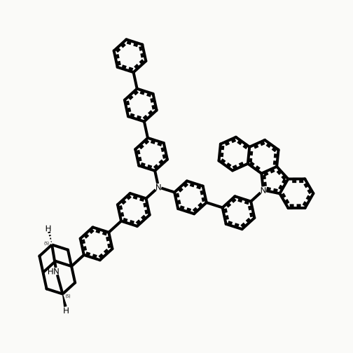 c1ccc(-c2ccc(-c3ccc(N(c4ccc(-c5ccc(C67CC8C[C@@H](C6)N[C@@H](C8)C7)cc5)cc4)c4ccc(-c5cccc(-n6c7ccccc7c7ccc8ccccc8c76)c5)cc4)cc3)cc2)cc1